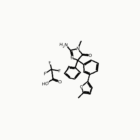 Cc1ccc(-c2cccc(C3(c4ccccc4)N=C(N)N(C)C3=O)c2)o1.O=C(O)C(F)(F)F